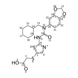 O=C(O)CSc1cnc(NC(=O)N(CC2CCCCC2)c2ccc3c(c2)OCO3)s1